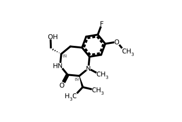 COc1cc2c(cc1F)C[C@@H](CO)NC(=O)[C@H](C(C)C)N2C